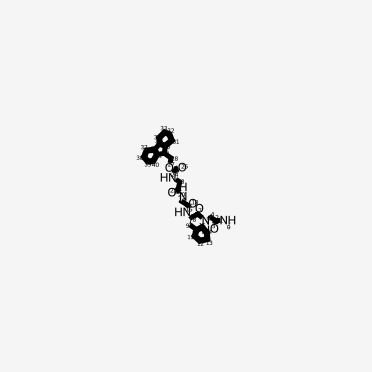 [CH2]NC(=O)CNC(=O)[C@H](Cc1ccccc1)NC(=O)CNC(=O)CNC(=O)OCC1c2ccccc2-c2ccccc21